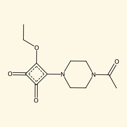 CCOc1c(N2CCN(C(C)=O)CC2)c(=O)c1=O